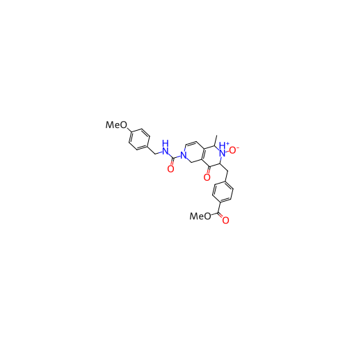 COC(=O)c1ccc(CC2C(=O)C3=C(C=CN(C(=O)NCc4ccc(OC)cc4)C3)C(C)[NH+]2[O-])cc1